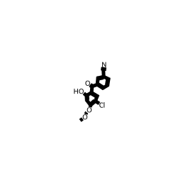 COCOc1cc(O)c(C(=O)c2cccc(C#N)c2)cc1Cl